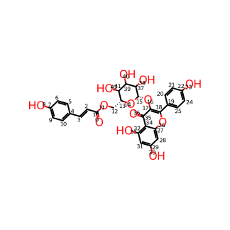 O=C(/C=C/c1ccc(O)cc1)OC[C@H]1O[C@@H](Oc2c(-c3ccc(O)cc3)oc3cc(O)cc(O)c3c2=O)C(O)C(O)[C@@H]1O